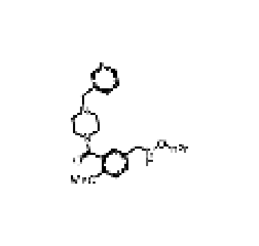 CCCONCc1ccc(OC)c(C(=O)N2CCN(Cc3cccnc3)CC2)c1